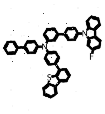 Fc1ccc2c3ccccc3n(-c3ccc(-c4cccc(N(c5ccc(-c6ccccc6)cc5)c5ccc(-c6cccc7c6sc6ccccc67)cc5)c4)cc3)c2c1